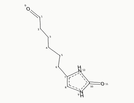 O=CCCCCCc1c[nH]c(=O)[nH]1